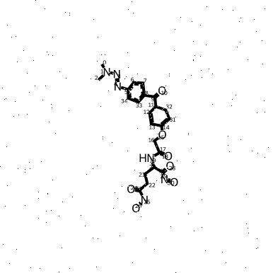 CN(C)/N=N/c1ccc(C(=O)C2C=CC(OCC(=O)NC(CCC(=O)N=O)C(=O)N=O)=CC2)cc1